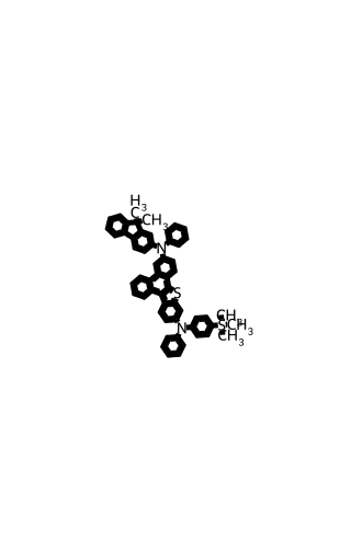 CC1(C)c2ccccc2-c2ccc(N(c3ccccc3)c3ccc4c(c3)c3ccccc3c3c5ccc(N(c6ccccc6)c6ccc(S(C)(C)C)cc6)cc5sc43)cc21